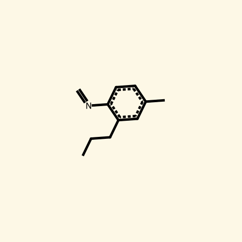 C=Nc1ccc(C)cc1CCC